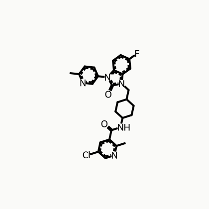 Cc1ccc(-n2c(=O)n(CC3CCC(NC(=O)c4cc(Cl)cnc4C)CC3)c3cc(F)ccc32)cn1